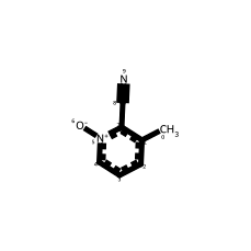 Cc1ccc[n+]([O-])c1C#N